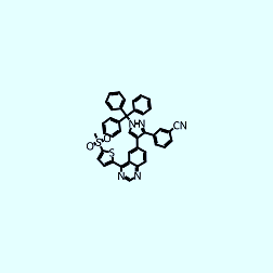 CS(=O)(=O)c1ccc(-c2ncnc3ccc(-c4cn(C(c5ccccc5)(c5ccccc5)c5ccccc5)nc4-c4cccc(C#N)c4)cc23)s1